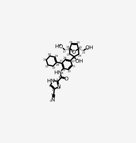 N#Cc1c[nH]c(C(=O)Nc2ccc([C@]3(O)C[C@@]4(CO)C=C[C@@](CO)(C3)O4)cc2C2=CCCCC2)n1